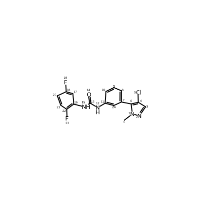 Cn1ncc(Cl)c1-c1cccc(NC(=O)Nc2cc(F)ccc2F)c1